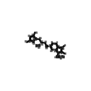 CCOC(=O)c1c(C)n(C)c2ccc(OC[C@H](O)Cn3nc(C)cc3C)cc12